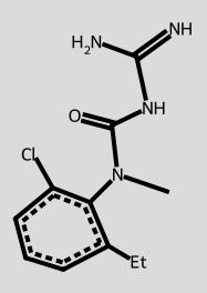 CCc1cccc(Cl)c1N(C)C(=O)NC(=N)N